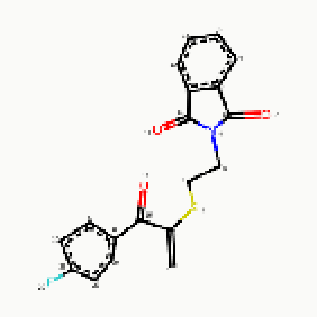 C=C(SCCN1C(=O)c2ccccc2C1=O)C(=O)c1ccc(F)cc1